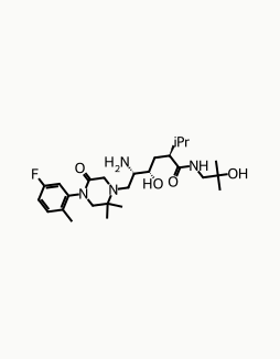 Cc1ccc(F)cc1N1CC(C)(C)N(C[C@H](N)[C@@H](O)C[C@H](C(=O)NCC(C)(C)O)C(C)C)CC1=O